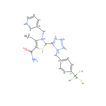 CC1=C(C(N)=O)SC(c2nnnn2Cc2ccc(C(F)(F)F)cc2)N1Cc1cccnc1